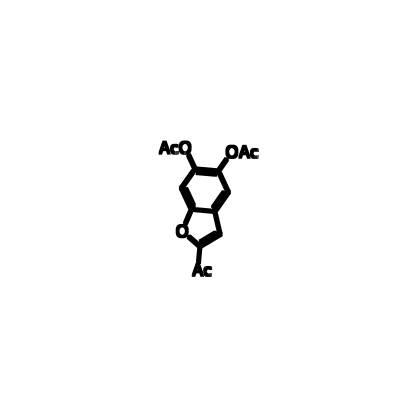 CC(=O)Oc1cc2cc(C(C)=O)oc2cc1OC(C)=O